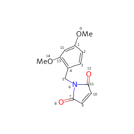 COc1ccc(CN2C(=O)C=CC2=O)c(OC)c1